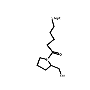 CCCCCCCCCCCC(=O)N1CCCC1CO